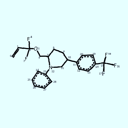 C=CC(F)(F)OCC1CCC(c2ccc(C(F)(F)F)cc2)CN1c1ccccc1